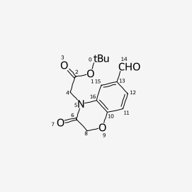 CC(C)(C)OC(=O)CN1C(=O)COc2ccc(C=O)cc21